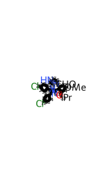 COc1ccc(C2=NC(c3ccc(Cl)cc3)C(c3ccc(Cl)cc3)N2C2CNCCN2C=O)c(OC(C)C)c1